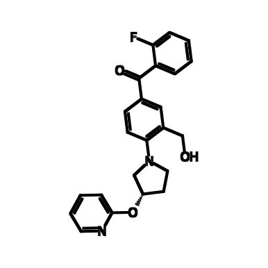 O=C(c1ccc(N2CC[C@H](Oc3ccccn3)C2)c(CO)c1)c1ccccc1F